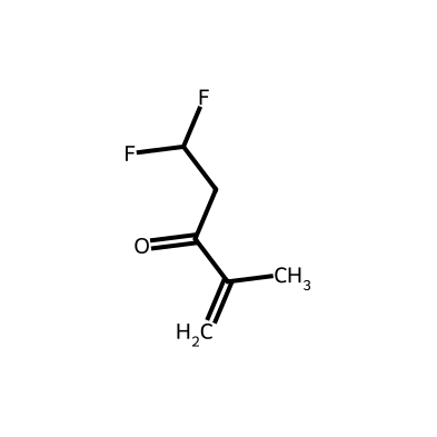 C=C(C)C(=O)CC(F)F